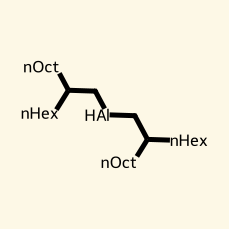 CCCCCCCCC(CCCCCC)[CH2][AlH][CH2]C(CCCCCC)CCCCCCCC